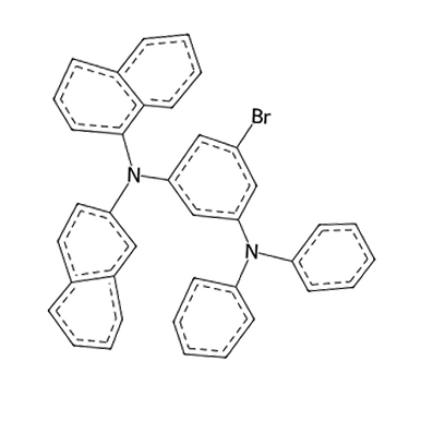 Brc1cc(N(c2ccccc2)c2ccccc2)cc(N(c2ccc3ccccc3c2)c2cccc3ccccc23)c1